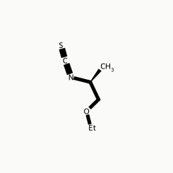 CCOC[C@H](C)N=C=S